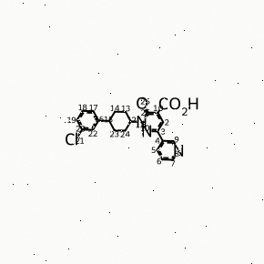 O=C(O)c1cc(-c2cccnc2)nn(C2CCC(c3cccc(Cl)c3)CC2)c1=O